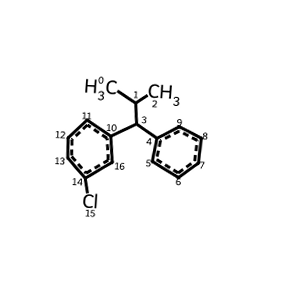 CC(C)C(c1ccccc1)c1cccc(Cl)c1